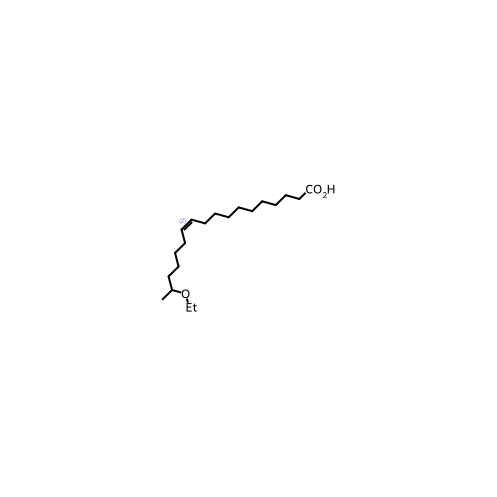 CCOC(C)CCCC/C=C\CCCCCCCCCC(=O)O